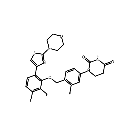 O=C1CCN(c2ccc(COc3c(-c4csc(N5CCOCC5)n4)ccc(F)c3F)c(F)c2)C(=O)N1